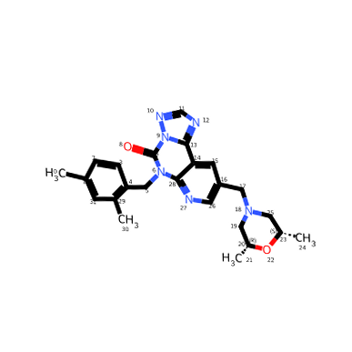 Cc1ccc(Cn2c(=O)n3ncnc3c3cc(CN4C[C@@H](C)O[C@@H](C)C4)cnc32)c(C)c1